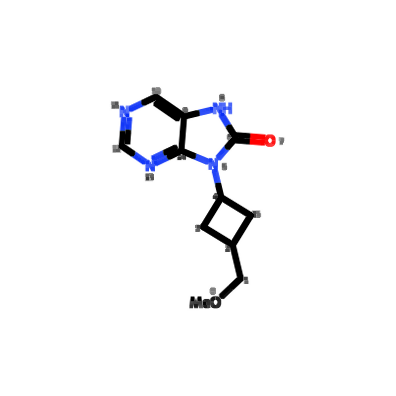 COCC1CC(n2c(=O)[nH]c3cncnc32)C1